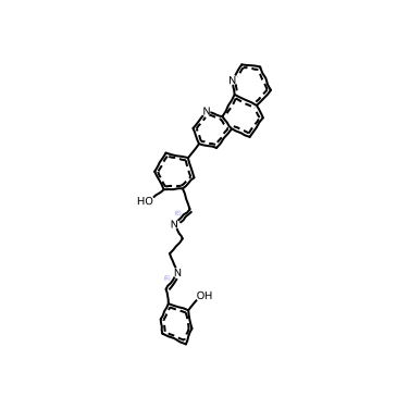 Oc1ccccc1/C=N/CC/N=C/c1cc(-c2cnc3c(ccc4cccnc43)c2)ccc1O